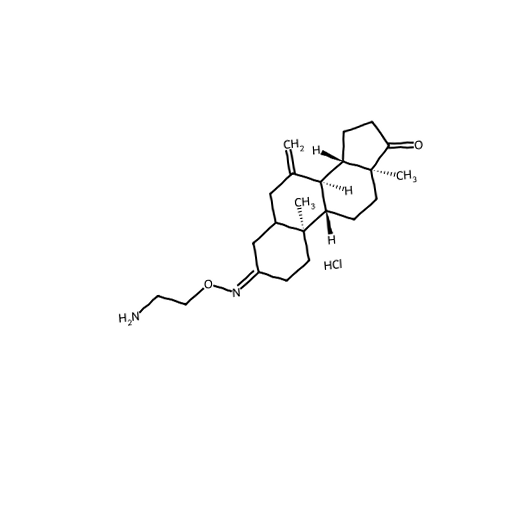 C=C1CC2CC(=NOCCN)CC[C@]2(C)[C@H]2CC[C@]3(C)C(=O)CC[C@H]3[C@H]12.Cl